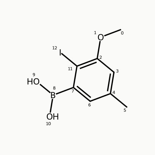 COc1cc(C)cc(B(O)O)c1I